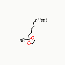 CCCCCCCCCCCCC1(CCC)OCCO1